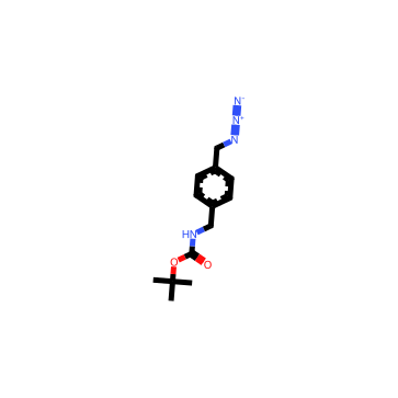 CC(C)(C)OC(=O)NCc1ccc(CN=[N+]=[N-])cc1